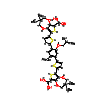 CCCCC(CC)COc1cc(-c2ccc(-c3sc(B(O)O)c4c3OCC(CCCC)(CCCC)CO4)s2)c(OC)cc1C1CC=C(c2sc(B(O)O)c3c2OCC(CCCC)(CCCC)CO3)S1